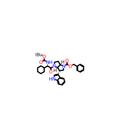 CC(C)(C)OC(=O)N[C@H](C(=O)N1CC[C@@H]2[C@H]1[C@@H](c1c[nH]c3ccccc13)CN2C(=O)OCc1ccccc1)C1CCCCC1